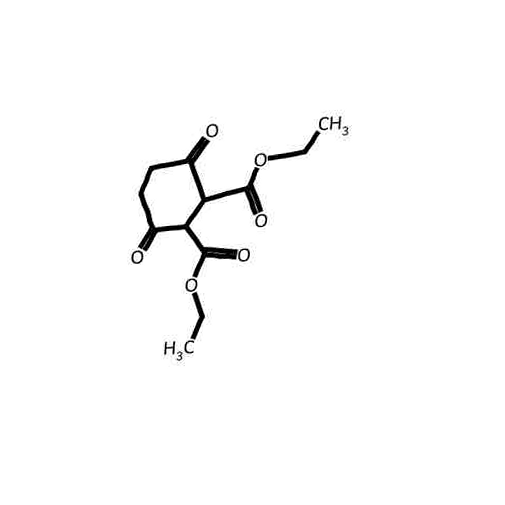 CCOC(=O)C1C(=O)CCC(=O)C1C(=O)OCC